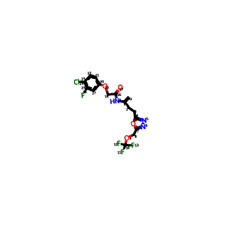 C=C(CCc1nnc(COC(F)(F)F)o1)NC(=O)COc1ccc(Cl)c(F)c1